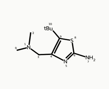 CN(C)Cc1nc(N)sc1C(C)(C)C